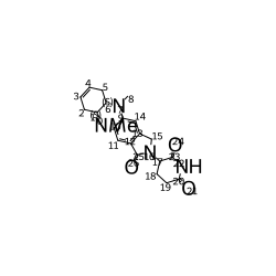 CN[C@H]1CC=CC[C@@H]1N(C)c1ccc2c(c1)CN(C1CCC(=O)NC1=O)C2=O